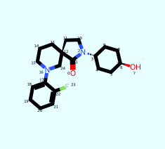 O=C1N([C@H]2CC[C@H](O)CC2)CC[C@@]12CCCN(C1=CC[CH]C=C1F)C2